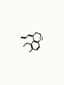 C=C/C=C1/CCOc2ccc(C)c(CC)c21